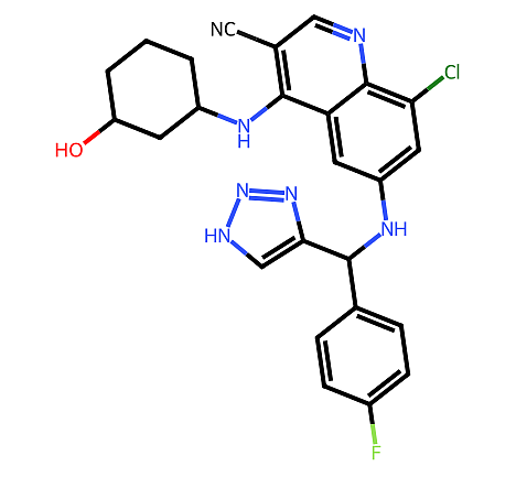 N#Cc1cnc2c(Cl)cc(NC(c3ccc(F)cc3)c3c[nH]nn3)cc2c1NC1CCCC(O)C1